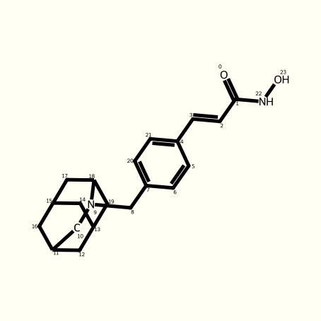 O=C(C=Cc1ccc(CN2CC3CC4CC(C3)CC2C4)cc1)NO